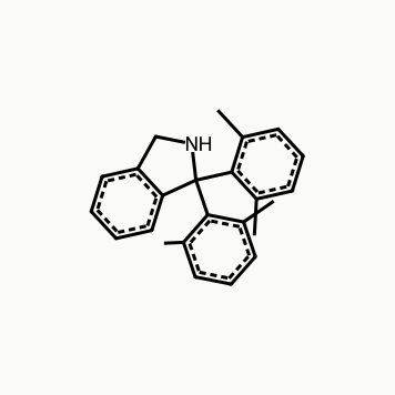 Cc1cccc(C)c1C1(c2c(C)cccc2C)NCc2ccccc21